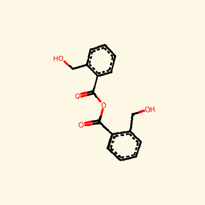 O=C(OC(=O)c1ccccc1CO)c1ccccc1CO